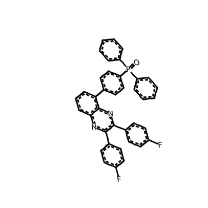 O=P(c1ccccc1)(c1ccccc1)c1ccc(-c2cccc3nc(-c4ccc(F)cc4)c(-c4ccc(F)cc4)nc23)cc1